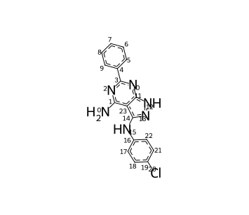 Nc1nc(-c2ccccc2)nc2[nH]nc(Nc3ccc(Cl)cc3)c12